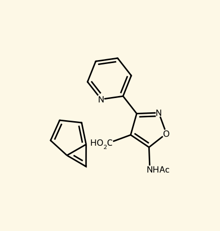 CC(=O)Nc1onc(-c2ccccn2)c1C(=O)O.c1cc2cc-2c1